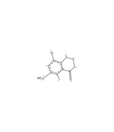 Cc1c(C(=O)O)cc(Cl)c2c1C(=O)CCS2